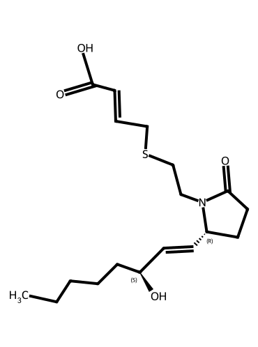 CCCCC[C@H](O)C=C[C@H]1CCC(=O)N1CCSCC=CC(=O)O